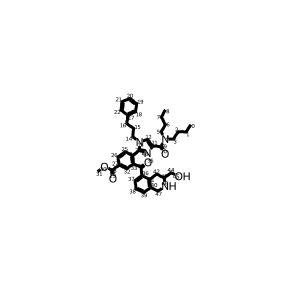 CCCCN(CCCC)C(=O)c1cn(CCCc2ccccc2)c(-c2ccc(C(=O)OC)cc2C(=O)c2cccc3c2CC(CO)NC3)n1